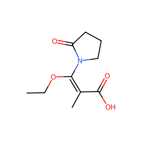 CCOC(=C(C)C(=O)O)N1CCCC1=O